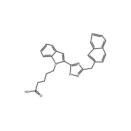 O=C(O)CCCCn1c(-c2nc(Cc3ccc4ccccc4c3)no2)cc2ccccc21